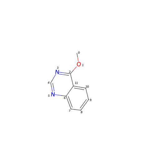 COc1ncnc2ccccc12